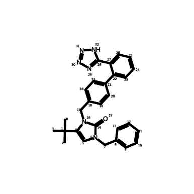 CC(C)(C)c1cn(Cc2ccccc2)c(=O)n1Cc1ccc(-c2ccccc2-c2nnn[nH]2)cc1